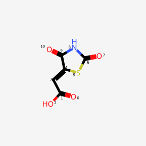 O=C(O)/C=C1\SC(=O)NC1=O